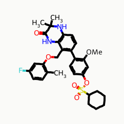 COc1cc(OS(=O)(=O)C2CCCCC2)ccc1-c1ccc2c(c1COc1cc(F)ccc1C)NC(=O)C(C)(C)N2